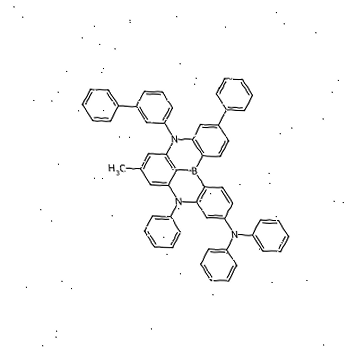 Cc1cc2c3c(c1)N(c1ccccc1)c1cc(N(c4ccccc4)c4ccccc4)ccc1B3c1ccc(-c3ccccc3)cc1N2c1cccc(-c2ccccc2)c1